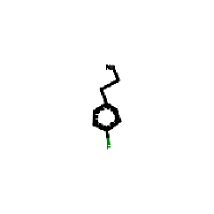 Fc1ccc(C[CH2][Na])cc1